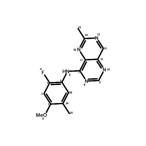 COc1cc(F)c(Nc2ncnc3cnc(C)nc23)cc1C